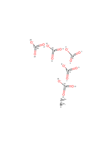 [Bi+3].[O]=[Ta](=[O])[O-].[O]=[Ta](=[O])[O-].[O]=[Ta](=[O])[O-].[O]=[Ta](=[O])[O-].[O]=[Ta](=[O])[O-].[Zn+2]